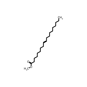 CCCCCCCCCC=CCCCCCCCC(=O)OC